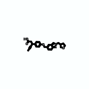 CC#CC(CC(=O)O)c1ccc(OCc2ccc3nn(CC4CCOC4)cc3c2)cc1